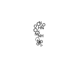 CNC(=O)c1cc(Oc2ccc3nc(N[C@H]4CCCN(S(=O)(=O)C5CC5)C4)sc3c2)ccn1